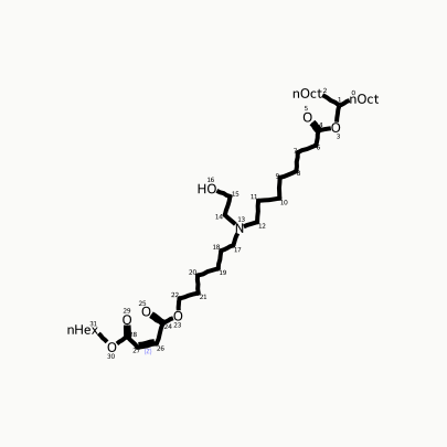 CCCCCCCCC(CCCCCCCC)OC(=O)CCCCCCCN(CCO)CCCCCCOC(=O)/C=C\C(=O)OCCCCCC